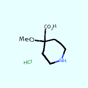 COC1(C(=O)O)CCNCC1.Cl